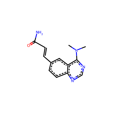 CN(C)c1ncnc2ccc(C=CC(N)=O)cc12